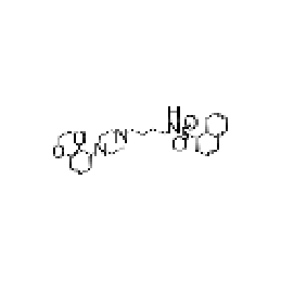 O=S(=O)(NCCCCN1CCN(c2cccc3c2OCCO3)CC1)c1cccc2ccccc12